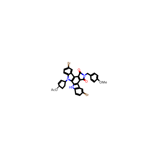 COc1ccc(CN2C(=O)c3c(c4c5cc(Br)ccc5n(C5C=C[C@H](OC(C)=O)CC5)c4c4[nH]c5ccc(Br)cc5c34)C2=O)cc1